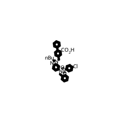 CCCCc1nc2ccc(N(Cc3ccccc3)S(=O)(=O)c3ccc(Cl)cc3)cc2n1Cc1ccc(-c2ccccc2)c(C(=O)O)c1